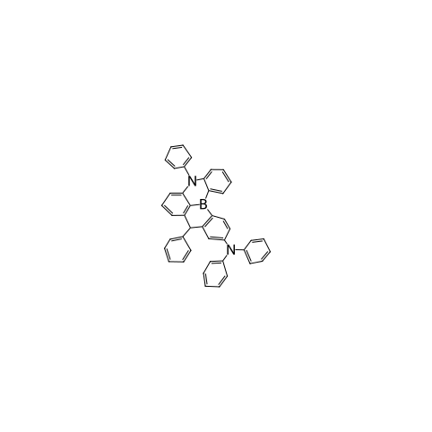 c1ccc(C2c3cc(N(c4ccccc4)c4ccccc4)ccc3B3c4ccccc4N(c4ccccc4)c4cccc2c43)cc1